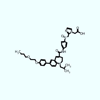 CCCCOCCOc1ccc(-c2ccc3c(c2)C=C(C(=O)Nc2ccc([S+]([O-])Cc4nccn4CC(=O)O)cc2)CCN3CC(C)C)cc1